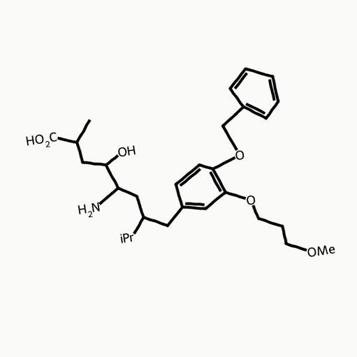 COCCCOc1cc(CC(CC(N)C(O)CC(C)C(=O)O)C(C)C)ccc1OCc1ccccc1